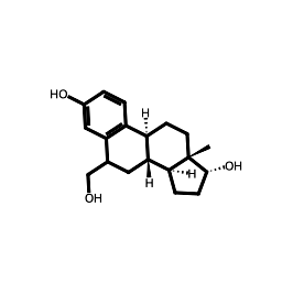 C[C@]12CC[C@@H]3c4ccc(O)cc4C(CO)C[C@H]3[C@@H]1CC[C@H]2O